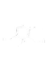 Cc1ccc(C(=O)O)c(C(=O)O)c1C(=O)O